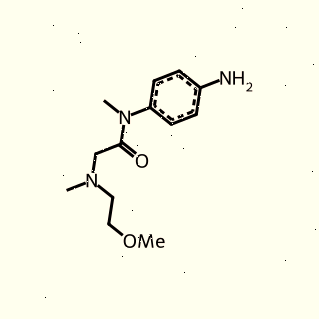 COCCN(C)CC(=O)N(C)c1ccc(N)cc1